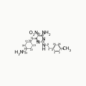 Cc1ccc(CCNc2nc(N)c([N+](=O)[O-])c(CC3CCC(CN)CC3)n2)cc1